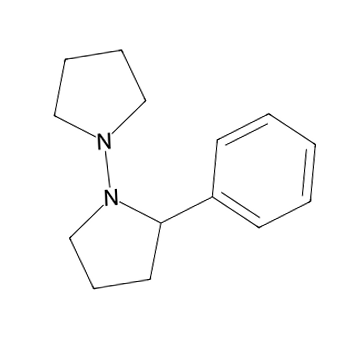 c1ccc(C2CCCN2N2CCCC2)cc1